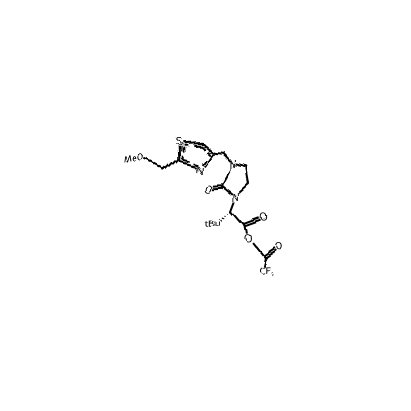 COCc1nc(CN2CCN([C@H](C(=O)OC(=O)C(F)(F)F)C(C)(C)C)C2=O)cs1